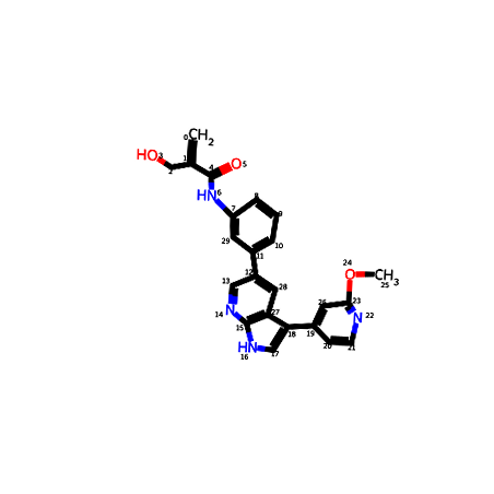 C=C(CO)C(=O)Nc1cccc(-c2cnc3[nH]cc(-c4ccnc(OC)c4)c3c2)c1